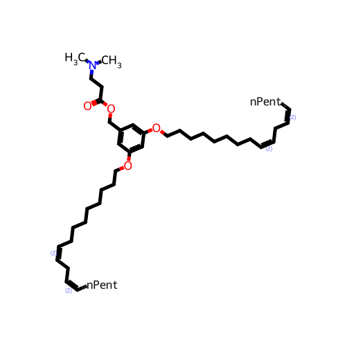 CCCCC/C=C\C/C=C\CCCCCCCCOc1cc(COC(=O)CCN(C)C)cc(OCCCCCCCC/C=C\C/C=C\CCCCC)c1